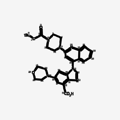 CC(C)(C)OC(=O)N1CCN(c2cc(-n3cnc4c(C(=O)O)cc(N5CCOCC5)cc43)c3ccccc3n2)CC1